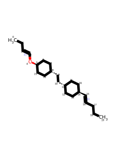 CC/C=C/O[C@H]1CC[C@H](CC[C@H]2CC[C@H](/C=C/CCC)CC2)CC1